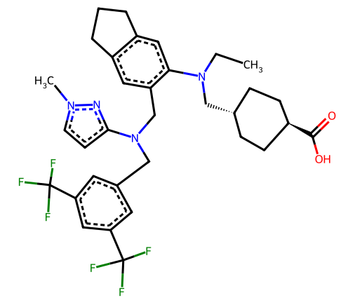 CCN(C[C@H]1CC[C@H](C(=O)O)CC1)c1cc2c(cc1CN(Cc1cc(C(F)(F)F)cc(C(F)(F)F)c1)c1ccn(C)n1)CCC2